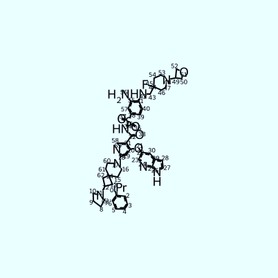 CC(C)c1ccccc1[C@@H]1CCCN1C1CC2(CCN(c3cc(Oc4cnc5[nH]ccc5c4)c(C(=O)NS(=O)(=O)c4ccc(NCC5(F)CCN(C6COC6)CC5)c(N)c4)cn3)CC2)C1